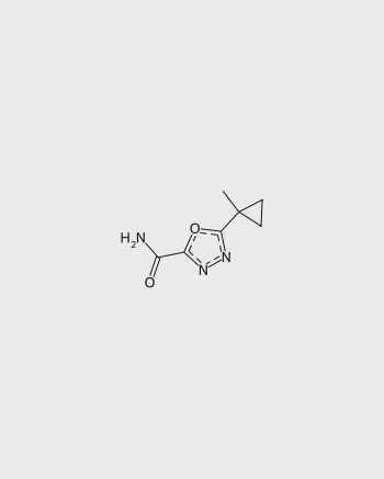 CC1(c2nnc(C(N)=O)o2)CC1